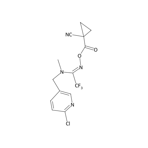 CN(Cc1ccc(Cl)nc1)/C(=N\OC(=O)C1(C#N)CC1)C(F)(F)F